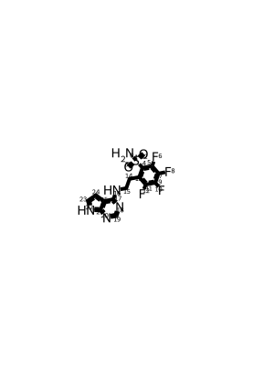 NS(=O)(=O)c1c(F)c(F)c(F)c(F)c1CCNc1ncnc2[nH]ccc12